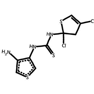 Nc1cscc1NC(=S)NC1(Cl)CC(Cl)=CS1